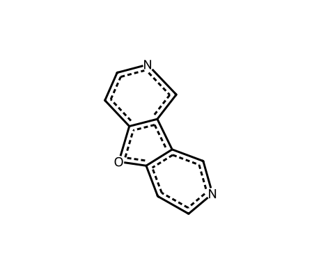 c1cc2oc3ccncc3c2cn1